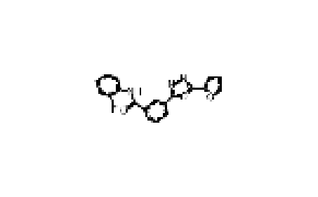 O=C(Nc1ccccc1F)c1cccc(-c2nnc(-c3ccco3)o2)c1